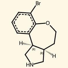 Brc1cccc2c1OCC[C@H]1CNC[C@@H]21